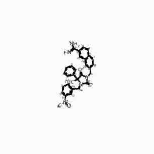 CC1(c2ccccc2)C(=O)N(Cc2ccc3ccc(C(=N)N)cc3c2)C(=O)N1Cc1cccc([N+](=O)[O-])c1